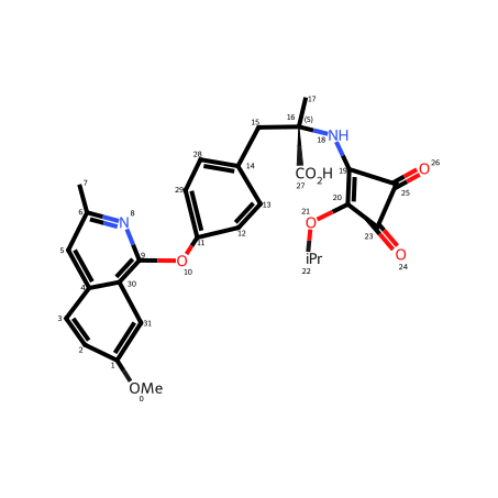 COc1ccc2cc(C)nc(Oc3ccc(C[C@](C)(Nc4c(OC(C)C)c(=O)c4=O)C(=O)O)cc3)c2c1